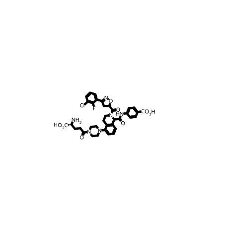 N[C@@H](CCC(=O)N1CCN(c2cccc3c2CCN(C(=O)C2CC(c4cccc(Cl)c4F)=NO2)C3C(=O)Nc2ccc(C(=O)O)cc2)CC1)C(=O)O